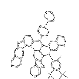 Cc1cc2c(cc1N1c3cc4ccccc4cc3B3c4c(cc5c(sc6ccccc65)c41)-c1c(ccc4sc5cc6ccccc6cc5c14)N3c1ccc(-c3ccccc3)cc1)C(C)(C)CCC2(C)C